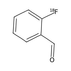 O=Cc1ccccc1[18F]